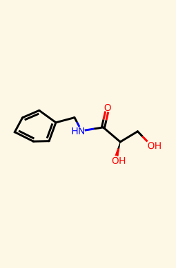 O=C(NCc1ccccc1)[C@H](O)CO